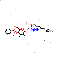 CCCCCCCCCCCC=CC[C@@H](C)[C@@H](O)C(COC1OC2COC(c3ccccc3)OC2C(C)C1C)N=[N+]=[N-]